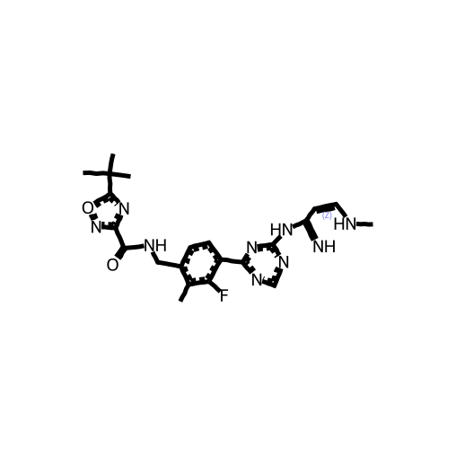 CN/C=C\C(=N)Nc1ncnc(-c2ccc(CNC(=O)c3noc(C(C)(C)C)n3)c(C)c2F)n1